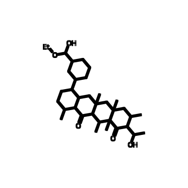 CCOC(O)C1CCCC(C2CCC(C)C3C(=O)C4C(C)C5(C)C(=O)C(C(C)O)C(C)CC5(C)CC4(C)CC23)C1